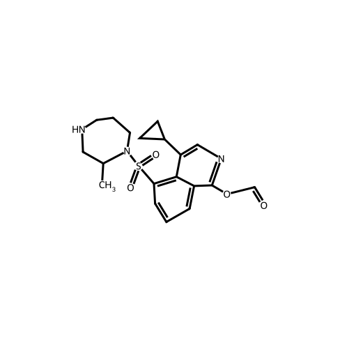 CC1CNCCCN1S(=O)(=O)c1cccc2c(OC=O)ncc(C3CC3)c12